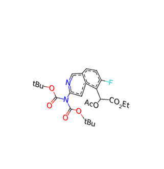 CCOC(=O)C(OC(C)=O)c1c(F)ccc2cnc(N(C(=O)OC(C)(C)C)C(=O)OC(C)(C)C)cc12